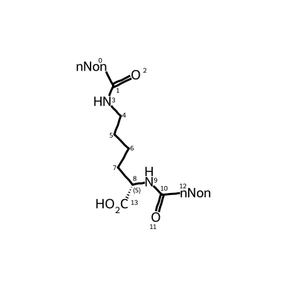 CCCCCCCCCC(=O)NCCCC[C@H](NC(=O)CCCCCCCCC)C(=O)O